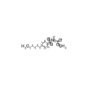 CCCCCCc1ccc(S(=O)(=O)N2CC2C(=O)OC)cc1